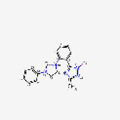 Cc1nc(-c2ccccc2N2CCN(c3ccccc3)C2)n(I)n1